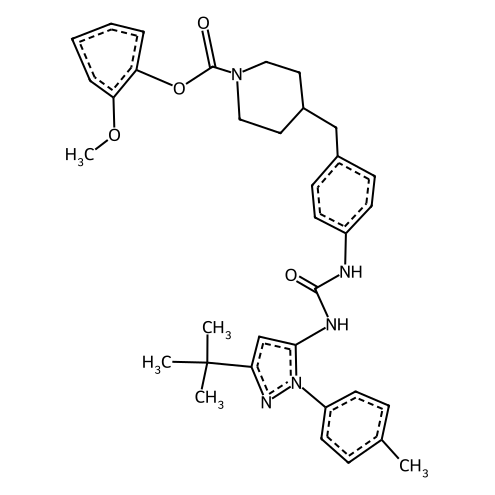 COc1ccccc1OC(=O)N1CCC(Cc2ccc(NC(=O)Nc3cc(C(C)(C)C)nn3-c3ccc(C)cc3)cc2)CC1